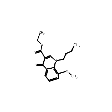 CCCCn1cc(C(=O)OCC)c(=O)c2cccc(OC)c21